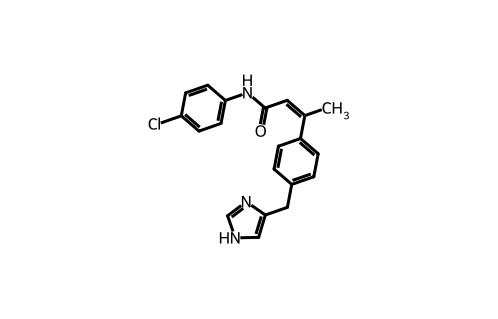 CC(=CC(=O)Nc1ccc(Cl)cc1)c1ccc(Cc2c[nH]cn2)cc1